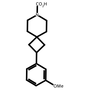 COc1cccc(C2CC3(CCN(C(=O)O)CC3)C2)c1